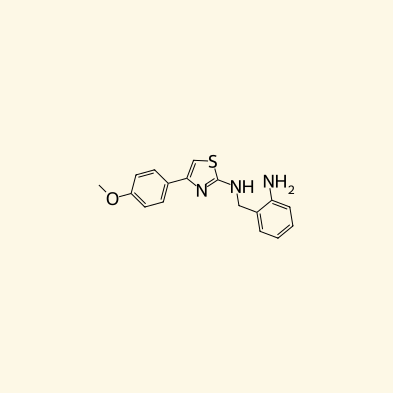 COc1ccc(-c2csc(NCc3ccccc3N)n2)cc1